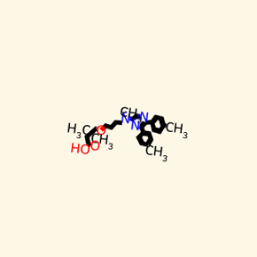 Cc1ccc(-c2ncc(N(C)CCCCOCC(C)(C)CC(=O)O)nc2-c2ccc(C)cc2)cc1